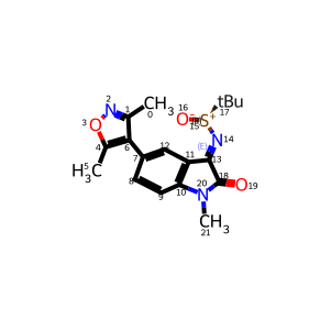 Cc1noc(C)c1-c1ccc2c(c1)/C(=N\[S@@+]([O-])C(C)(C)C)C(=O)N2C